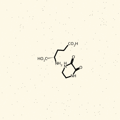 N[C@@H](CCC(=O)O)C(=O)O.O=C1NCCNC1=O